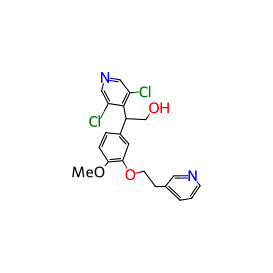 COc1ccc(C(CO)c2c(Cl)cncc2Cl)cc1OCCc1cccnc1